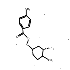 Cc1ccc(C(=O)OO[C]2CCC(C)C(C)C2)cc1